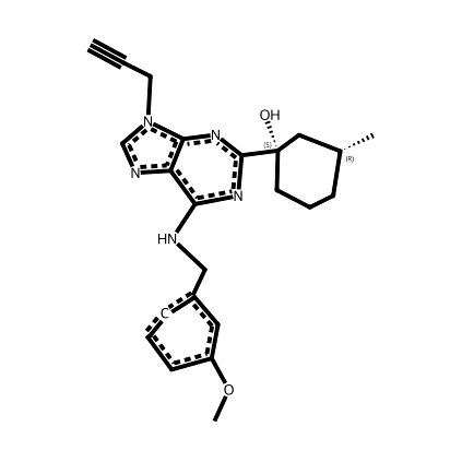 C#CCn1cnc2c(NCc3cccc(OC)c3)nc([C@]3(O)CCC[C@@H](C)C3)nc21